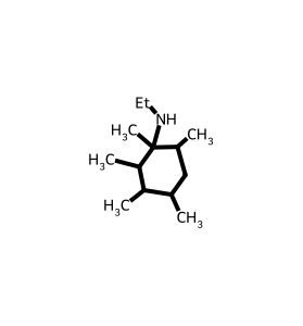 CCNC1(C)C(C)CC(C)C(C)C1C